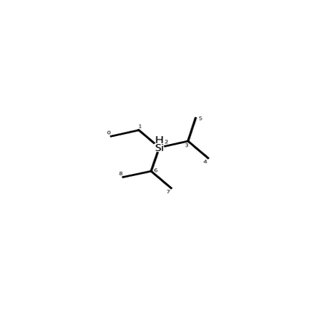 CC[SiH](C(C)C)C(C)C